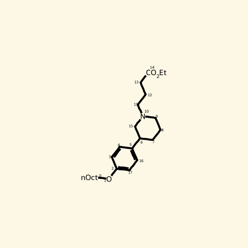 CCCCCCCCOc1ccc(C2CCCN(CCCC(=O)OCC)C2)cc1